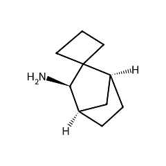 N[C@@H]1[C@@H]2CC[C@@H](C2)C12CCC2